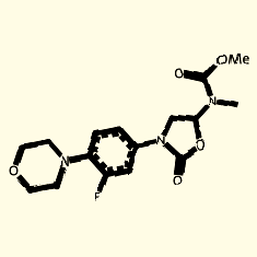 COC(=O)N(C)C1CN(c2ccc(N3CCOCC3)c(F)c2)C(=O)O1